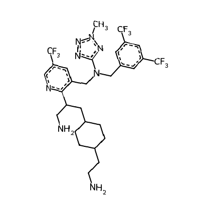 Cn1nnc(N(Cc2cc(C(F)(F)F)cc(C(F)(F)F)c2)Cc2cc(C(F)(F)F)cnc2C(CN)CC2CCC(CCN)CC2)n1